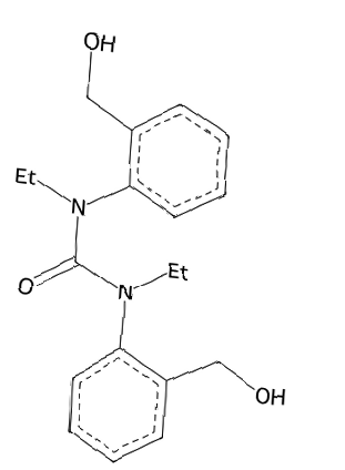 CCN(C(=O)N(CC)c1ccccc1CO)c1ccccc1CO